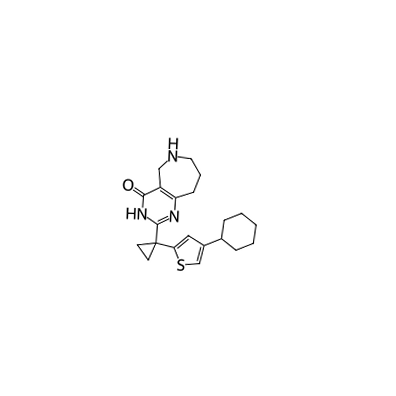 O=c1[nH]c(C2(c3cc(C4CCCCC4)cs3)CC2)nc2c1CNCCC2